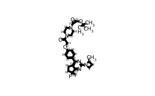 C[C@H]1CCN1c1nc(-c2ccc(OCC(=O)N3CCN(C4OC4OC(C)(C)C)CC3)cc2)c2c(n1)C(F)(F)CC2